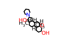 C[C@]12CC[C@H]3[C@@H](C[C@@H]4O[C@@]45C[C@@H](O)CC[C@]35C)[C@@H]1C[C@H](N1CCCCC1)[C@@H]2O